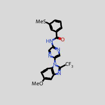 COc1ccc2c(c1)nc(C(F)(F)F)n2-c1cnc(NC(=O)c2cccc(SC)c2)cn1